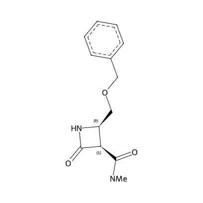 CNC(=O)[C@H]1C(=O)N[C@H]1COCc1ccccc1